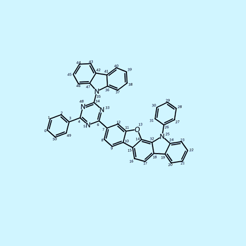 c1ccc(-c2nc(-c3ccc4c(c3)oc3c4ccc4c5ccccc5n(-c5ccccc5)c43)nc(-n3c4ccccc4c4ccccc43)n2)cc1